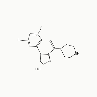 Cl.O=C(C1CCNCC1)N1OCCC1c1cc(F)cc(F)c1